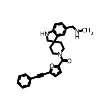 CNCc1ccc2c(c1)C1(CCN(C(=O)c3ccc(C#Cc4ccccc4)o3)CC1)CN2